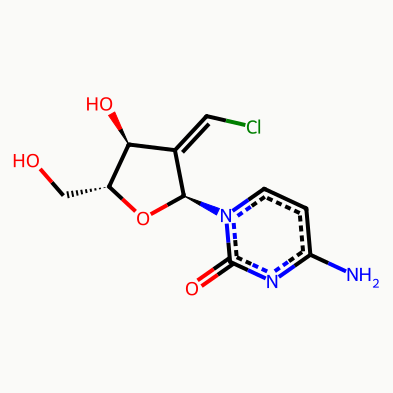 Nc1ccn([C@H]2O[C@H](CO)[C@@H](O)/C2=C/Cl)c(=O)n1